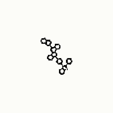 c1ccc(-c2nc3ccccc3n2-c2ccc(-c3cc4c5ccccc5c(-c5ccc6ccccc6c5)cc4c4ccccc34)cc2)cc1